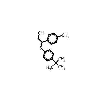 CCC(Sc1ccc(C(C)(C)C)cc1)c1ccc(C)cc1